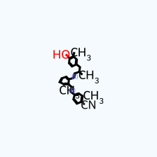 Cc1cc(CC(C)/C=C/c2cccc(C)c2/C=C/c2ccc(C#N)c(C)c2)ccc1O